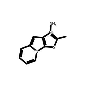 Cc1sc2c(cc3ccccn32)[n+]1N